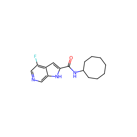 O=C(NC1CCCCCCC1)c1cc2c(F)cncc2[nH]1